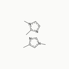 Cc1cn(C)cn1.Cc1nccn1C